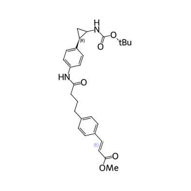 COC(=O)/C=C/c1ccc(CCCC(=O)Nc2ccc([C@H]3CC3NC(=O)OC(C)(C)C)cc2)cc1